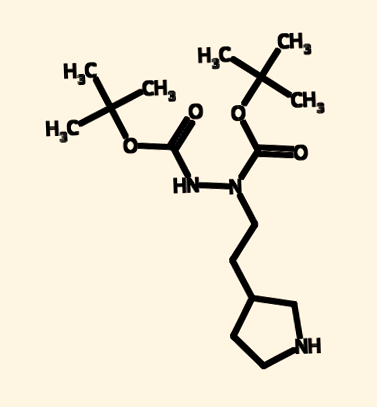 CC(C)(C)OC(=O)NN(CCC1CCNC1)C(=O)OC(C)(C)C